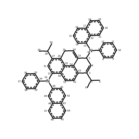 CC(C)C1=CC(N(c2ccccc2)c2cccc3ccccc23)C2=CCc3c(C(C)C)cc(N(c4ccccc4)c4ccc5ccccc5c4)c4ccc1c2c34